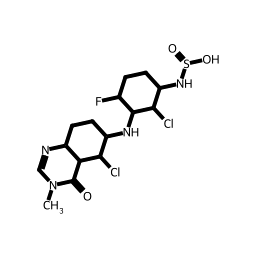 CN1C=NC2CCC(NC3C(F)CCC(NS(=O)O)C3Cl)C(Cl)C2C1=O